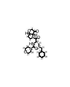 O=C1CO[C@@H]2CCN(C(=O)[C@H](CSCc3ccccc3)NC(=O)N3CCOCC3)[C@H]12